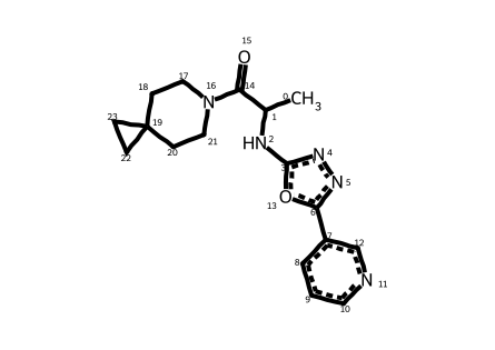 CC(Nc1nnc(-c2cccnc2)o1)C(=O)N1CCC2(CC1)CC2